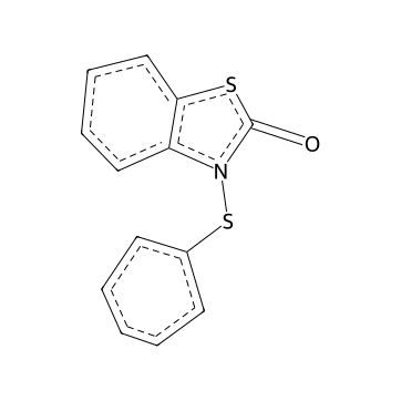 O=c1sc2ccccc2n1Sc1ccccc1